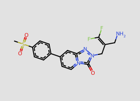 CS(=O)(=O)c1ccc(-c2ccn3c(=O)n(CC(CN)=C(F)F)nc3c2)cc1